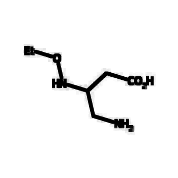 CCONC(CN)CC(=O)O